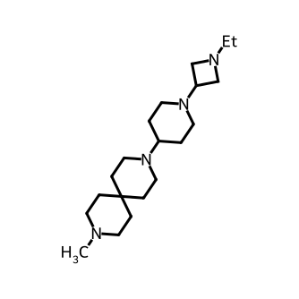 CCN1CC(N2CCC(N3CCC4(CCN(C)CC4)CC3)CC2)C1